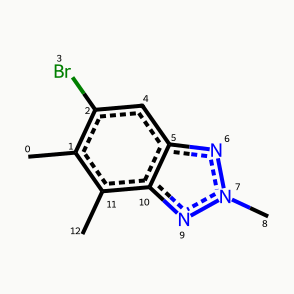 Cc1c(Br)cc2nn(C)nc2c1C